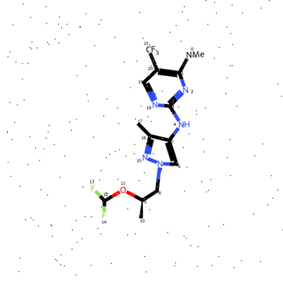 CNc1nc(Nc2cn(C[C@@H](C)OC(F)F)nc2C)ncc1C(F)(F)F